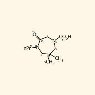 CCCN1CC(C)(C)CN(C(=O)O)CC1=O